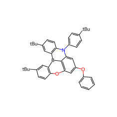 CC(C)(C)c1ccc(N2c3ccc(C(C)(C)C)cc3B3c4cc(C(C)(C)C)ccc4Oc4cc(Oc5ccccc5)cc2c43)cc1